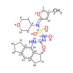 Cc1coc(N(C2CCOCC2)S(=O)(=O)[NH+]([O-])C(=O)Nc2c3c(cc4c2CCC4)CCC3)c1